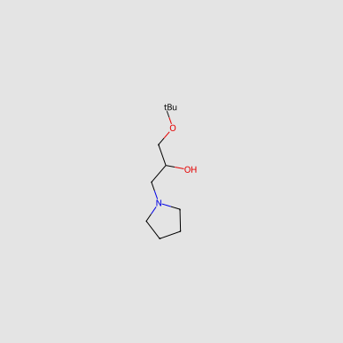 CC(C)(C)OCC(O)CN1CCCC1